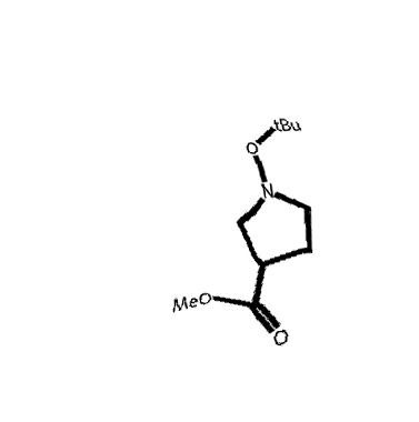 COC(=O)C1CCN(OC(C)(C)C)C1